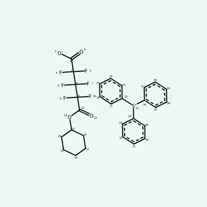 O=C([O-])C(F)(F)C(F)(F)C(F)(F)C(=O)OC1CCCCC1.c1ccc([S+](c2ccccc2)c2ccccc2)cc1